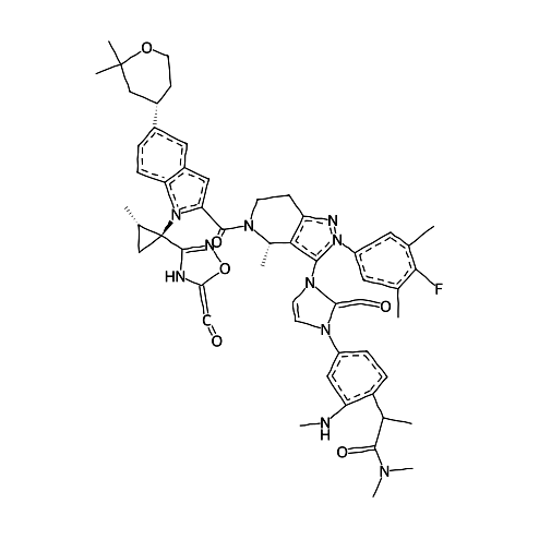 CNc1cc(N2C=CN(c3c4c(nn3-c3cc(C)c(F)c(C)c3)CCN(C(=O)c3cc5cc([C@H]6CCOC(C)(C)C6)ccc5n3[C@@]3(C5=NOC(=C=O)N5)C[C@@H]3C)[C@H]4C)C2=C=O)ccc1C(C)C(=O)N(C)C